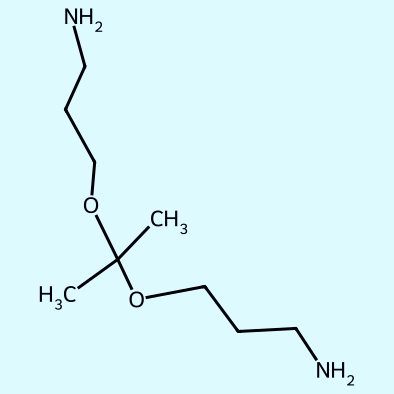 CC(C)(OCCCN)OCCCN